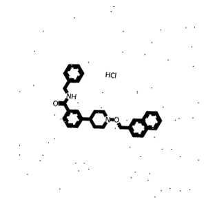 Cl.O=C(NCc1ccccc1)c1cccc(C2CCN(OCc3ccc4ccccc4c3)CC2)c1